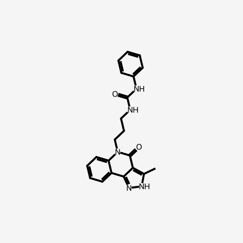 Cc1[nH]nc2c1c(=O)n(CCCNC(=O)Nc1ccccc1)c1ccccc21